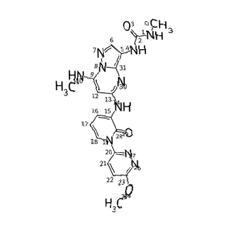 CNC(=O)Nc1cnn2c(NC)cc(Nc3cccn(-c4ccc(OC)nn4)c3=O)nc12